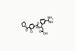 N=C(N)c1cccc(C(CC(=O)O)NC(=O)c2ccc(C(=O)N3CCCC3)c(Cl)c2)c1